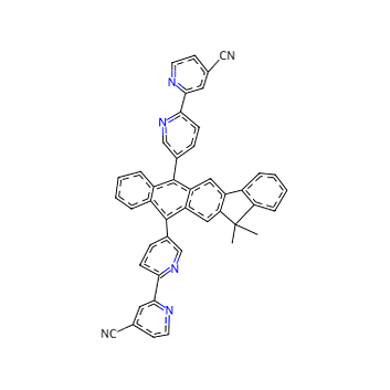 CC1(C)c2ccccc2-c2cc3c(-c4ccc(-c5cc(C#N)ccn5)nc4)c4ccccc4c(-c4ccc(-c5cc(C#N)ccn5)nc4)c3cc21